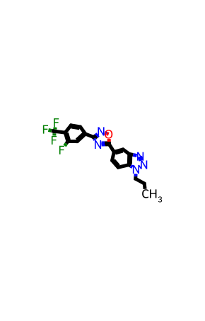 CCCn1nnc2cc(-c3nc(-c4ccc(C(F)(F)F)c(F)c4)no3)ccc21